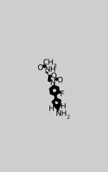 CC(=O)NC[C@H]1CN(c2ccc(C3=C[C@@H]4[C@H](N)[C@H]4C3)c(F)c2)C(=O)O1